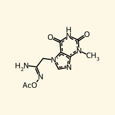 CC(=O)ON=C(N)Cn1cnc2c1c(=O)[nH]c(=O)n2C